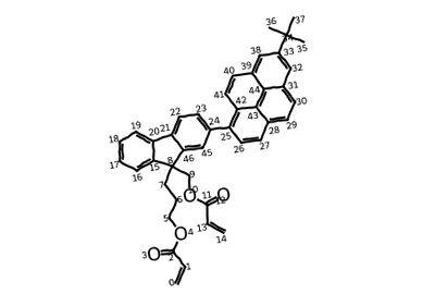 C=CC(=O)OCCCC1(COC(=O)C=C)c2ccccc2-c2ccc(-c3ccc4ccc5cc(C(C)(C)C)cc6ccc3c4c56)cc21